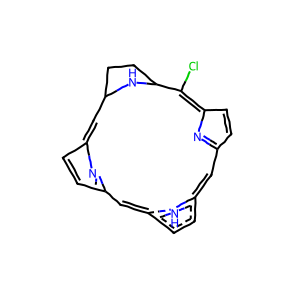 ClC1=C2C=CC(=N2)C=c2ccc([nH]2)=CC2=NC(=CC3CCC1N3)C=C2